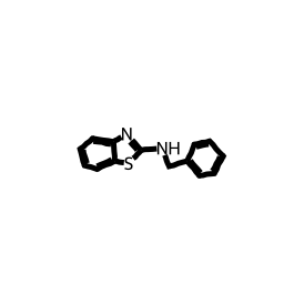 c1ccc(CNc2nc3ccccc3s2)cc1